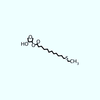 CCSCCCCCCCCCCCC(=O)OC1COCC1O